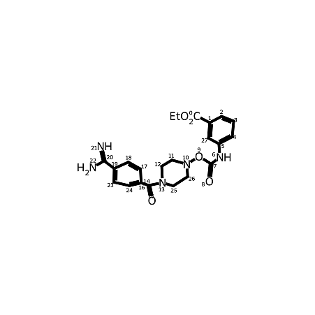 CCOC(=O)c1cccc(NC(=O)ON2CCN(C(=O)c3ccc(C(=N)N)cc3)CC2)c1